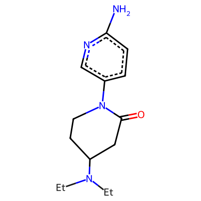 CCN(CC)C1CCN(c2ccc(N)nc2)C(=O)C1